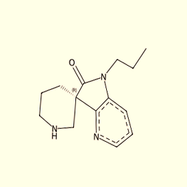 CCCN1C(=O)[C@@]2(CCCNC2)c2ncccc21